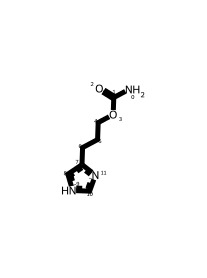 NC(=O)OCCCc1c[nH]cn1